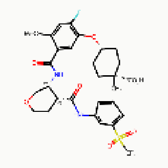 COc1cc(F)c(O[C@H]2CC[C@@](C)(C(=O)O)CC2)cc1C(=O)N[C@H]1COCC[C@H]1C(=O)Nc1cccc(S(=O)(=O)C(F)(F)F)c1